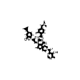 Cc1ncnc(C(=O)N2CCC3(CC2)C[C@@H](C)c2c3c(=O)n3nc(-c4ccc(CN(C)C)cc4F)nc3n2CC(=O)Nc2ccc(C3CC3)cc2Cl)c1O